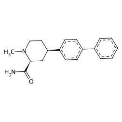 CN1CC[C@@H](c2ccc(-c3ccccc3)cc2)[CH][C@H]1C(N)=O